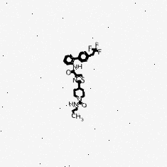 CCCNC(=O)N1CCC(c2nc(C(=O)Nc3ccccc3-c3ccc(CC(F)(F)F)cc3)cs2)CC1